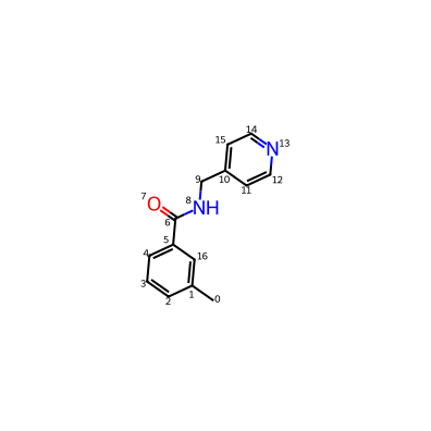 Cc1cccc(C(=O)NCc2ccncc2)c1